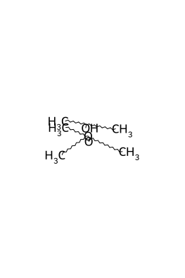 CCCCCCCCCCCC(O)CCCCCCCC.CCCCCCCCCCCCCC(=O)OC(CCCCCCCC)CCCCCCCCCCC